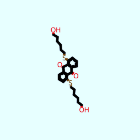 O=C1c2cccc(SCCCCCCO)c2C(=O)c2cccc(SCCCCCCO)c21